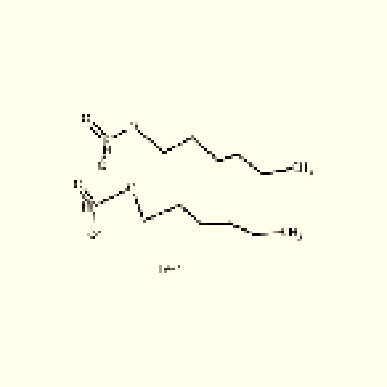 CCCCCCO[PH](=O)[O-].CCCCCCO[PH](=O)[O-].[Fe+2]